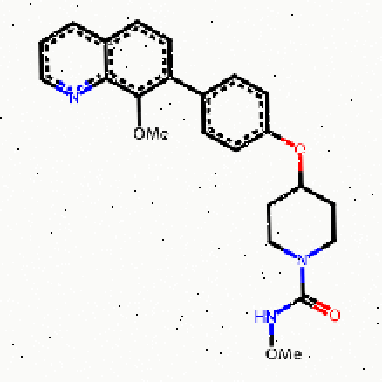 CONC(=O)N1CCC(Oc2ccc(-c3ccc4cccnc4c3OC)cc2)CC1